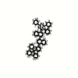 c1ccc(-c2nc(-c3ccccc3-c3ccccc3)nc(-c3ccc(-c4ccc(-c5ccc6c(c5)C(c5ccccc5)(c5ccccc5)c5ccccc5-6)c5ccccc45)c4ccccc34)n2)cc1